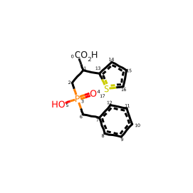 O=C(O)C(CP(=O)(O)Cc1ccccc1)c1cccs1